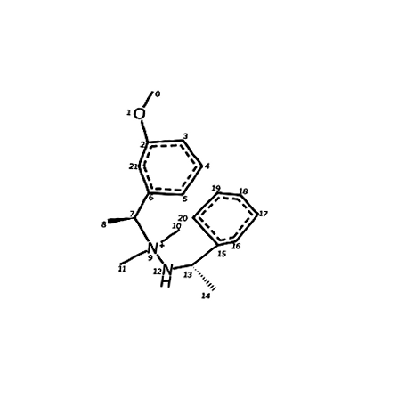 COc1cccc([C@H](C)[N+](C)(C)N[C@@H](C)c2ccccc2)c1